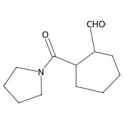 O=[C]C1CCCCC1C(=O)N1CCCC1